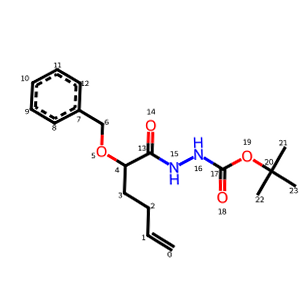 C=CCCC(OCc1ccccc1)C(=O)NNC(=O)OC(C)(C)C